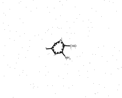 Cc1cnc(C=O)c(N)c1